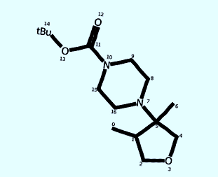 CC1COCC1(C)N1CCN(C(=O)OC(C)(C)C)CC1